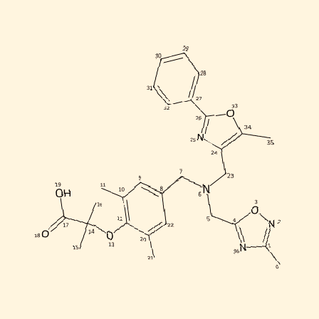 Cc1noc(CN(Cc2cc(C)c(OC(C)(C)C(=O)O)c(C)c2)Cc2nc(-c3ccccc3)oc2C)n1